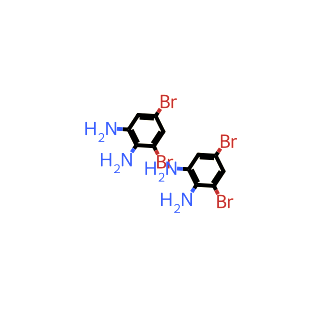 Nc1cc(Br)cc(Br)c1N.Nc1cc(Br)cc(Br)c1N